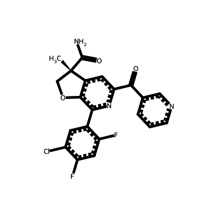 C[C@]1(C(N)=O)COc2c1cc(C(=O)c1cccnc1)nc2-c1cc(Cl)c(F)cc1F